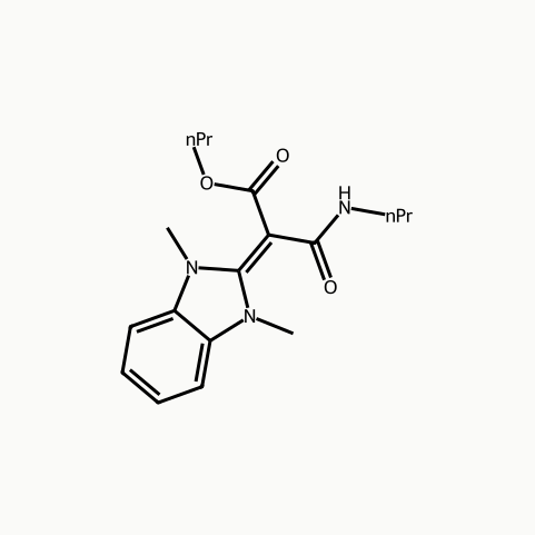 CCCNC(=O)C(C(=O)OCCC)=C1N(C)c2ccccc2N1C